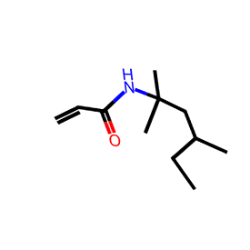 C=CC(=O)NC(C)(C)CC(C)CC